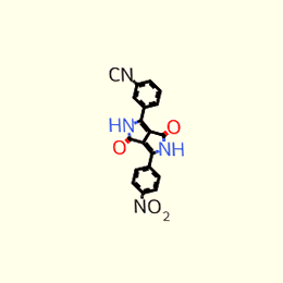 [C-]#[N+]c1cccc(C2=C3C(=O)NC(c4ccc([N+](=O)[O-])cc4)=C3C(=O)N2)c1